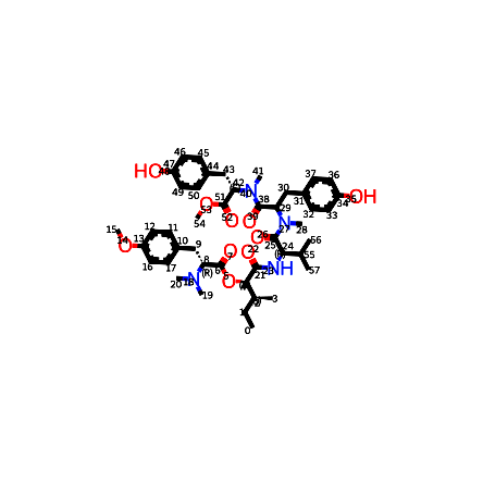 CC[C@H](C)[C@@H](OC(=O)[C@@H](Cc1ccc(OC)cc1)N(C)C)C(=O)N[C@@H](C(=O)N(C)C(Cc1ccc(O)cc1)C(=O)N(C)[C@@H](Cc1ccc(O)cc1)C(=O)OC)C(C)C